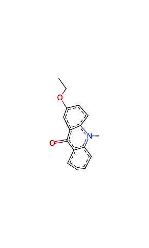 CCOc1ccc2c(c1)c(=O)c1ccccc1n2C